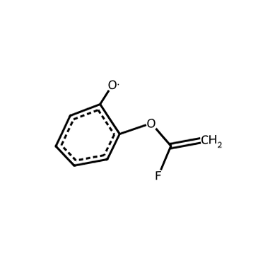 C=C(F)Oc1ccccc1[O]